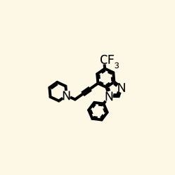 FC(F)(F)c1cc(C#CCN2CC=CCC2)c2c(c1)ncn2-c1ccccc1